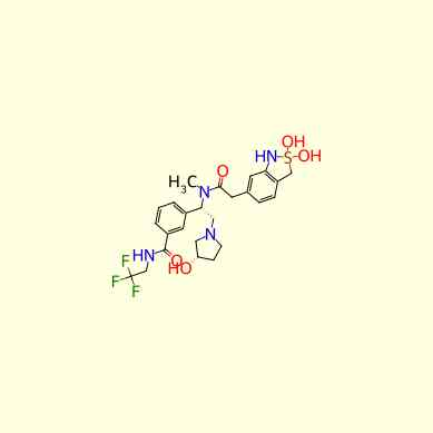 CN(C(=O)Cc1ccc2c(c1)NS(O)(O)C2)[C@H](CN1CC[C@H](O)C1)c1cccc(C(=O)NCC(F)(F)F)c1